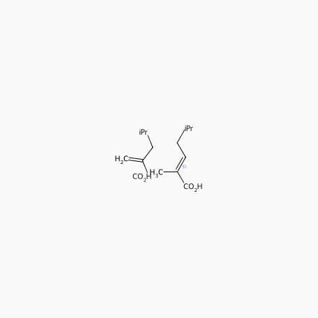 C/C(=C\CC(C)C)C(=O)O.C=C(CC(C)C)C(=O)O